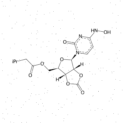 CC(C)CC(=O)OC[C@H]1O[C@@H](n2ccc(NO)nc2=O)[C@@H]2OC(=O)O[C@@H]21